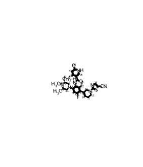 C[C@@H]1CN(c2cc(F)c(C3=CCCN(c4ncc(C#N)s4)C3)c(F)c2NC(=O)c2c[nH]c(=O)cc2C(F)(F)F)C[C@H](C)N1C